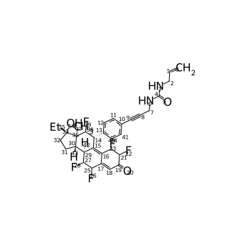 C=CCNC(=O)NCC#Cc1ccc([C@@H]2C3=C4C(=CC(=O)C(F)C4F)C(F)C(F)[C@H]3[C@@H]3CC[C@@](O)(CC)[C@@]3(C)C2F)cc1